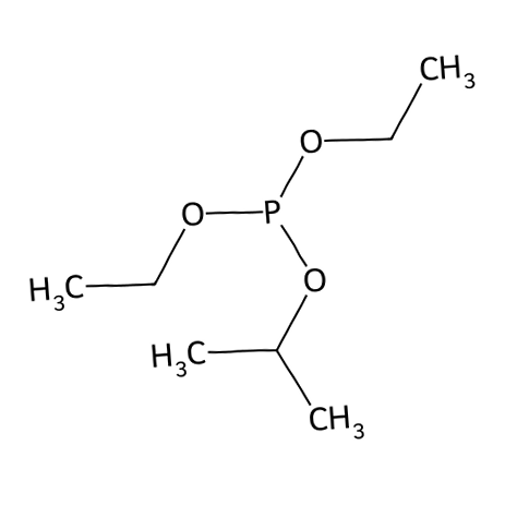 CCOP(OCC)OC(C)C